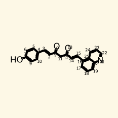 O=C(C=Cc1ccc(O)cc1)CC(=O)C=Cc1cccc2ncccc12